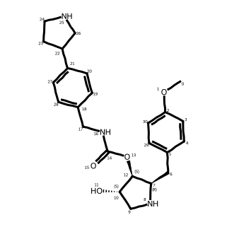 COc1ccc(C[C@H]2NC[C@H](O)[C@H]2OC(=O)NCc2ccc(C3CCNC3)cc2)cc1